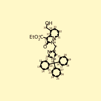 CCOC(=O)c1c(=O)n(Cc2cn(C(c3ccccc3)(c3ccccc3)c3ccccc3)cn2)n2cccc(CO)c12